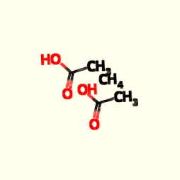 C.CC(=O)O.CC(=O)O